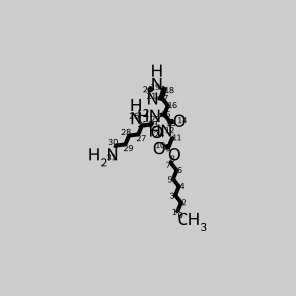 CCCCCCCCOC(=O)CNC(=O)C(Cc1c[nH]cn1)NC(=O)C(N)CCCCN